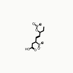 CCC(/C=C/C(CC(=O)O)[N+](=O)[O-])O[N+](=O)[O-]